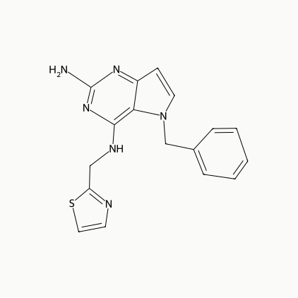 Nc1nc(NCc2nccs2)c2c(ccn2Cc2ccccc2)n1